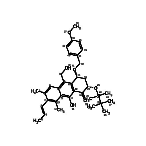 C/C=C/c1c(C)cc2c(CO)c3c(c(O)c2c1C)C(=O)[C@@H](O[Si](C)(C)C(C)(C)C)C[C@@H]3OCc1ccc(OC)cc1